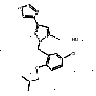 Cc1cc(-c2c[nH]cn2)nn1Cc1cc(Cl)ccc1OCC(C)C.Cl